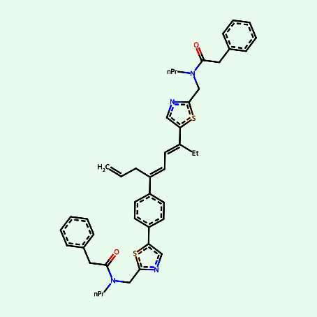 C=CC/C(=C\C=C(/CC)c1cnc(CN(CCC)C(=O)Cc2ccccc2)s1)c1ccc(-c2cnc(CN(CCC)C(=O)Cc3ccccc3)s2)cc1